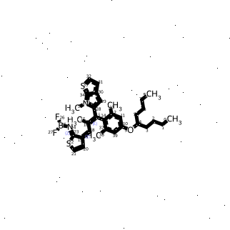 CCCCC(CCCC)Oc1cc(C)c(\C(=C(C)/C=C2/C=CS/C2=N\B(F)F)c2cc3ccsc3n2C)c(C)c1